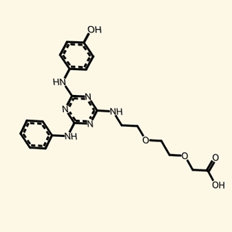 O=C(O)COCCOCCNc1nc(Nc2ccccc2)nc(Nc2ccc(O)cc2)n1